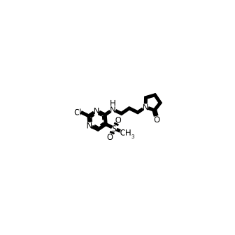 CS(=O)(=O)c1cnc(Cl)nc1NCCCN1CCCC1=O